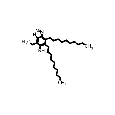 CCCCCCCCCCc1c(N)c(CC)c2nn[nH]c2c1CCCCCCCCCC